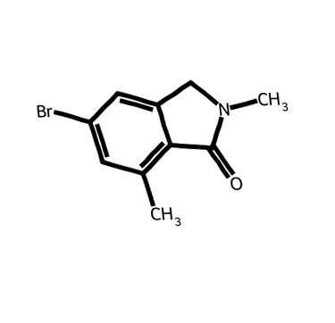 Cc1cc(Br)cc2c1C(=O)N(C)C2